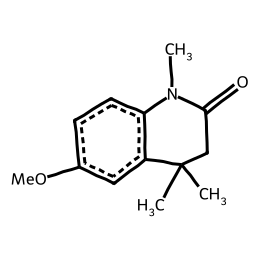 COc1ccc2c(c1)C(C)(C)CC(=O)N2C